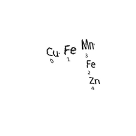 [Cu].[Fe].[Fe].[Mn].[Zn]